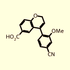 COc1cc(C#N)ccc1C1=CCOc2ccc(C(=O)O)cc21